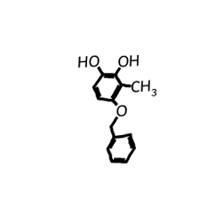 Cc1c(OCc2ccccc2)ccc(O)c1O